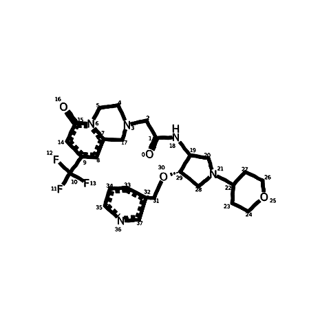 O=C(CN1CCn2c(cc(C(F)(F)F)cc2=O)C1)NC1CN(C2CCOCC2)C[C@@H]1OCc1cccnc1